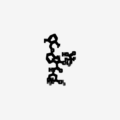 Cc1nc2c(OCc3c(F)cccc3F)cccn2c1C(=O)NC(CO)CC(C(F)(F)F)C(F)(F)F.O=C(O)C(F)(F)F